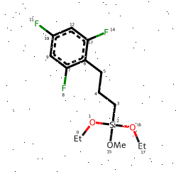 CCO[Si](CCCc1c(F)cc(F)cc1F)(OC)OCC